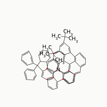 CC(C)(C)c1cc(-c2cccc3cccc(-c4ccccc4N(c4ccccc4-c4ccccc4-c4ccccc4-c4ccccc4)c4cccc5c4C4C=CC=CC4C5(c4ccccc4)c4ccccc4)c23)cc(C(C)(C)C)c1